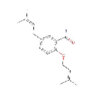 CC(C)=CCOc1ccc(CC=C(C)C)cc1C(=O)I